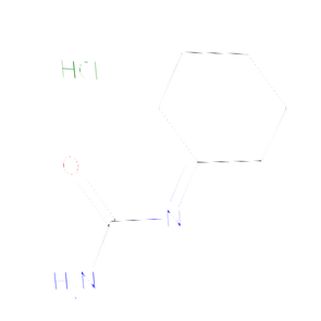 Cl.NC(=O)N=C1CCCCC1